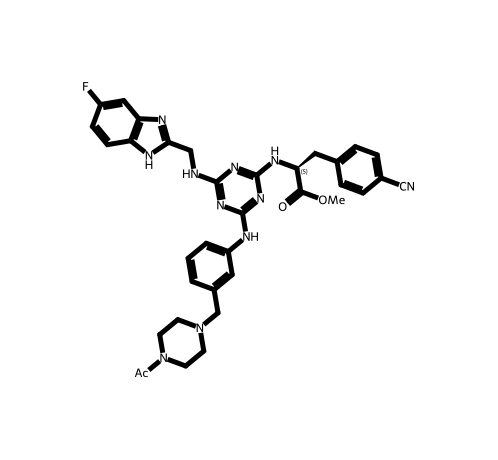 COC(=O)[C@H](Cc1ccc(C#N)cc1)Nc1nc(NCc2nc3cc(F)ccc3[nH]2)nc(Nc2cccc(CN3CCN(C(C)=O)CC3)c2)n1